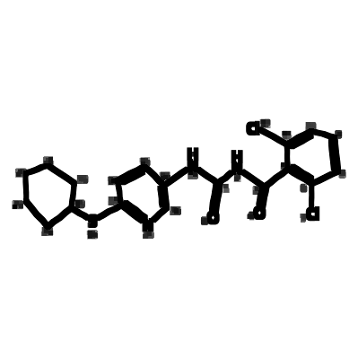 O=C(NC(=O)c1c(Cl)cccc1Cl)Nc1ccc(SC2CCCCC2)nc1